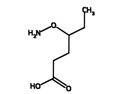 CCC(CCC(=O)O)ON